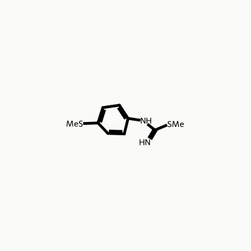 CSC(=N)Nc1ccc(SC)cc1